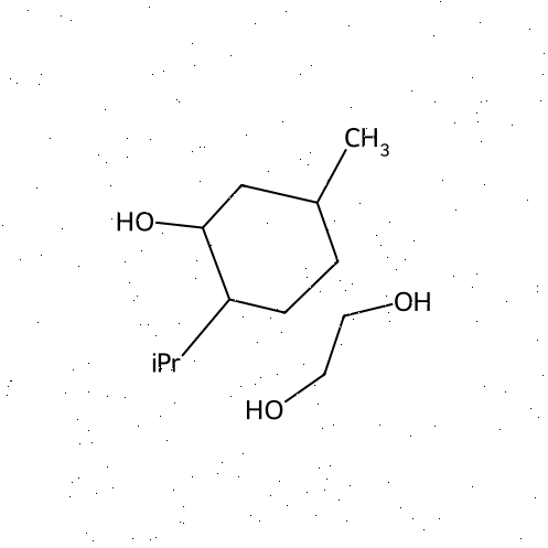 CC1CCC(C(C)C)C(O)C1.OCCO